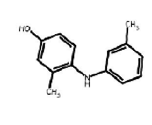 Cc1cccc(Nc2ccc(O)cc2C)c1